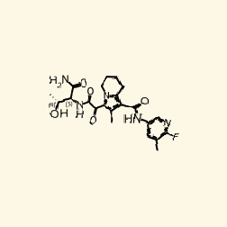 Cc1cc(NC(=O)c2c(C)c(C(=O)C(=O)N[C@H](C(N)=O)[C@@H](C)O)n3c2CCCC3)cnc1F